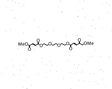 COCC(=O)/C=C/C(=O)OCCOCCOCCOC(=O)/C=C/C(=O)OC